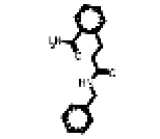 NC(=O)c1ccccc1C[CH]C(=O)NCc1ccccc1